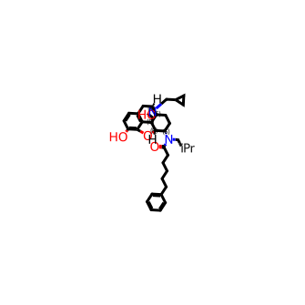 CC(C)CN(C(=O)CCCCCc1ccccc1)[C@H]1CC[C@@]2(O)[C@H]3Cc4ccc(O)c5c4[C@@]2(CCN3CC2CC2)[C@H]1O5